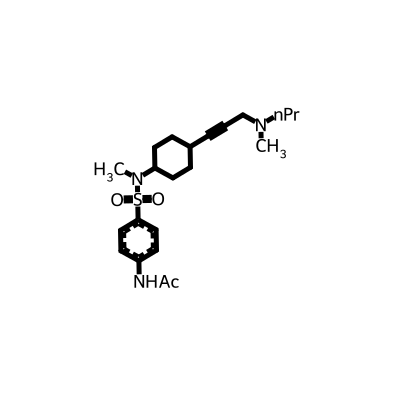 CCCN(C)CC#CC1CCC(N(C)S(=O)(=O)c2ccc(NC(C)=O)cc2)CC1